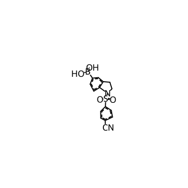 N#Cc1ccc(S(=O)(=O)N2CCc3cc(B(O)O)ccc32)cc1